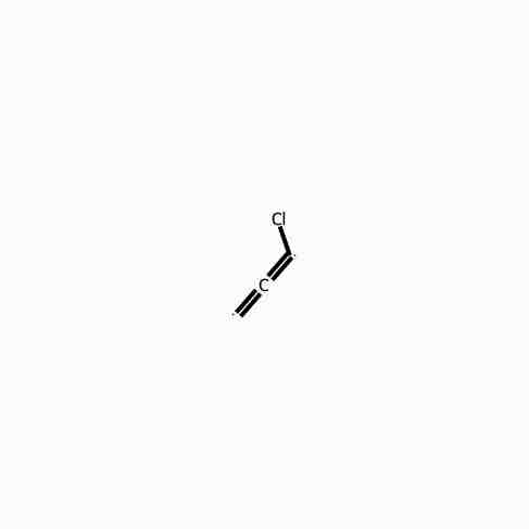 [CH]=C=[C]Cl